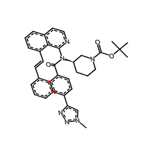 Cn1cc(-c2ccc(C(=O)N(c3nccc4cccc(/C=C/c5cccnc5)c34)[C@@H]3CCCN(C(=O)OC(C)(C)C)C3)cc2)nn1